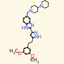 COc1cc(CCc2cc(-c3nc4cc(CN5CCC(N6CCCCC6)CC5)ccc4[nH]3)n[nH]2)cc(OC)c1